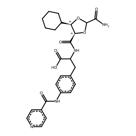 NC(=O)C1O[C@H](C2CCCCC2)[C@H](C(=O)NC(Cc2ccc(NC(=O)c3ccncc3)cc2)C(=O)O)O1